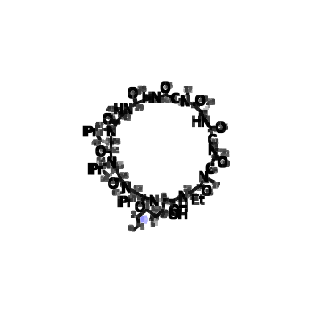 C/C=C/C[C@@H](C)[C@@H](O)[C@H]1C(=O)N[C@@H](CC)C(=O)N(C)CC(=O)N(C)CC(=O)N[C@@H](C)C(=O)N(C)CC(=O)N[C@@H](C)C(=O)N[C@H](C)C(=O)N(C)[C@@H](CC(C)C)C(=O)N(C)[C@@H](CC(C)C)C(=O)N(C)[C@@H](C(C)C)C(=O)N1C